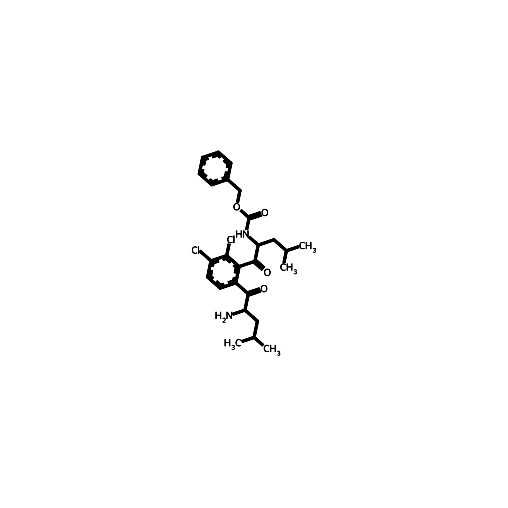 CC(C)CC(N)C(=O)c1ccc(Cl)c(Cl)c1C(=O)C(CC(C)C)NC(=O)OCc1ccccc1